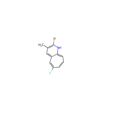 CC1=C(Br)NC2=CC=CC(F)=CC2=C1